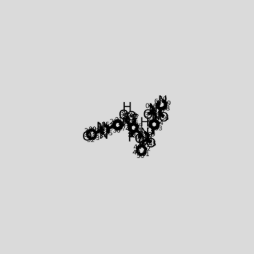 Cn1c(=O)n(-c2ccc(C[C@H](NC(=O)c3cc(F)c(N(c4ccc(-c5cnc(C6CCOCC6)nc5)cc4)[SH](=O)=O)cc3F)C(=O)OC3CCCCC3)cc2)c(=O)c2ccncc21